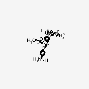 CCOC(=O)Cn1c(COc2ccc(C(=N)N)cc2)nc2cc(N(CCN(C)C)S(C)(=O)=O)ccc21